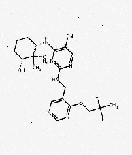 CC(F)(F)COc1ncncc1CNc1ncc(C#N)c(N[C@H]2CCC[C@@H](O)C2(C)C)n1